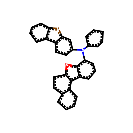 c1ccc(N(c2ccc3c(c2)sc2ccccc23)c2cccc3c2oc2ccc4ccccc4c23)cc1